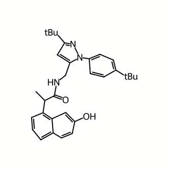 CC(C(=O)NCc1cc(C(C)(C)C)nn1-c1ccc(C(C)(C)C)cc1)c1cccc2ccc(O)cc12